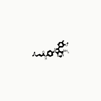 COc1cc(-c2nn(-c3ccc(NC(=O)C=CCN(C)C)cc3)c3ncnc(N)c23)ccc1C